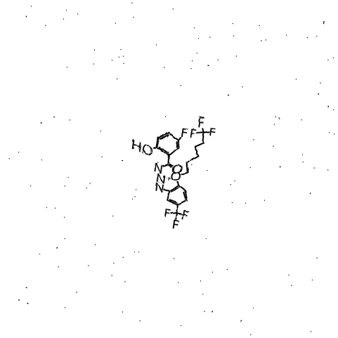 O=C(N=[N+]=Nc1cc(C(F)(F)F)ccc1OCCCCCC(F)(F)F)c1cc(F)ccc1O